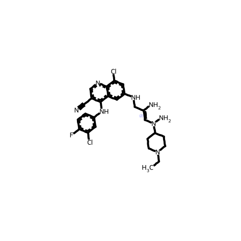 CCN1CCC(N(N)/C=C(\N)CNc2cc(Cl)c3ncc(C#N)c(Nc4ccc(F)c(Cl)c4)c3c2)CC1